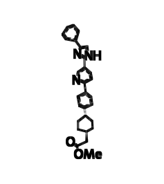 COC(=O)C[C@H]1CC[C@H](c2ccc(-c3ccc(-c4nc(-c5ccccc5)c[nH]4)cn3)cc2)CC1